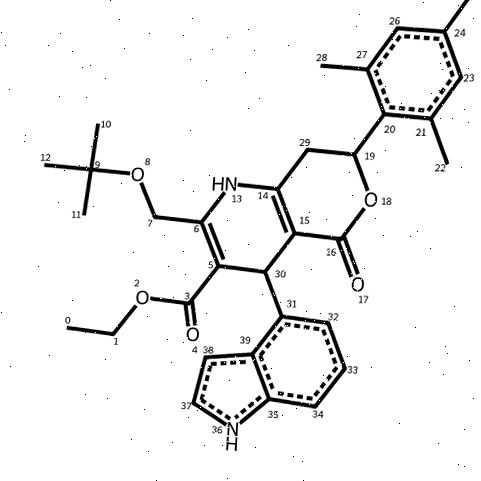 CCOC(=O)C1=C(COC(C)(C)C)NC2=C(C(=O)OC(c3c(C)cc(C)cc3C)C2)C1c1cccc2[nH]ccc12